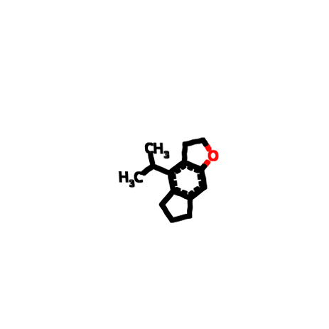 CC(C)c1c2c(cc3c1CCO3)CCC2